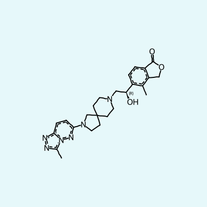 Cc1c([C@@H](O)CN2CCC3(CC2)CCN(c2ccc4nnc(C)n4n2)C3)ccc2c1COC2=O